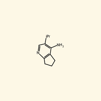 CC(C)c1cnc2c(c1N)CCC2